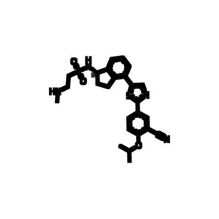 CNCCS(=O)(=O)N[C@@H]1CCc2c(-c3cnc(-c4ccc(OC(C)C)c(C#N)c4)s3)cccc21